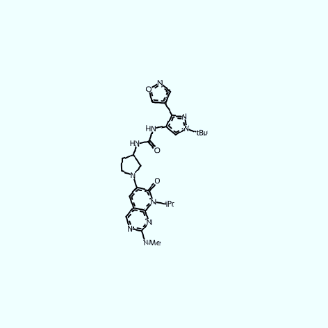 CNc1ncc2cc(N3CCC(NC(=O)Nc4cn(C(C)(C)C)nc4-c4cnoc4)C3)c(=O)n(C(C)C)c2n1